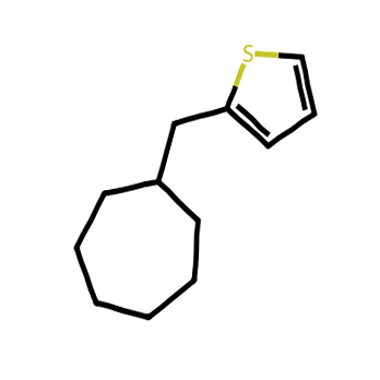 c1csc(CC2CCCCCC2)c1